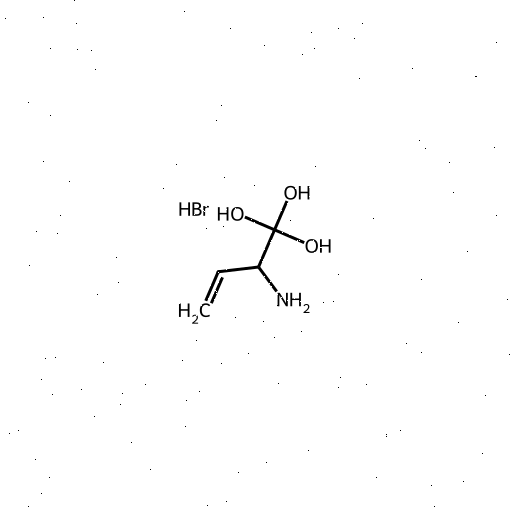 Br.C=CC(N)C(O)(O)O